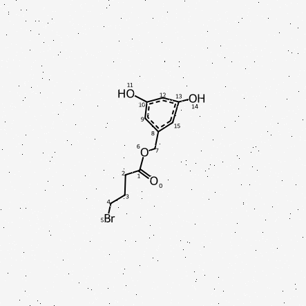 O=C(CCCBr)OCc1cc(O)cc(O)c1